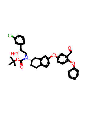 CC(C)(C)OC(=O)N(C[C@H](O)c1cccc(Cl)c1)[C@H]1CCc2ccc(Oc3ccc(Oc4ccccc4)c(C=O)c3)cc2C1